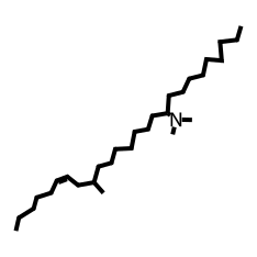 CCCCC/C=C\CC(C)CCCCCCCC(CCCCCCCCC)N(C)C